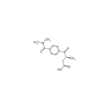 C[C@@H](CC(=O)O)C(=O)c1ccc(C(=S)N(C)C)cc1